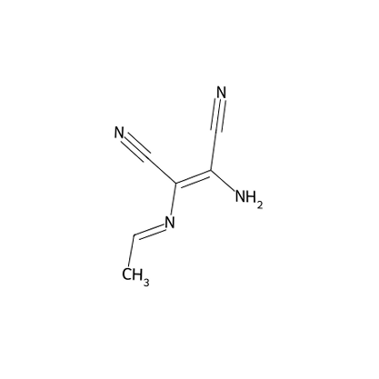 C/C=N/C(C#N)=C(\N)C#N